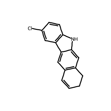 Clc1ccc2[nH]c3cc4c(cc3c2c1)C=CCC4